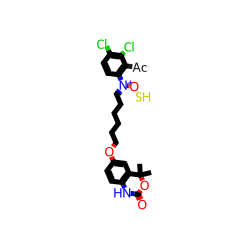 CC(=O)c1c([N+](=CCCCCCOc2ccc3c(c2)C(C)(C)OC(=O)N3)OS)ccc(Cl)c1Cl